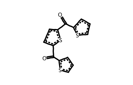 O=C(c1cccs1)c1ccc(C(=O)c2cccs2)s1